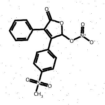 CS(=O)(=O)c1ccc(C2=C(c3ccccc3)C(=O)OC2O[N+](=O)[O-])cc1